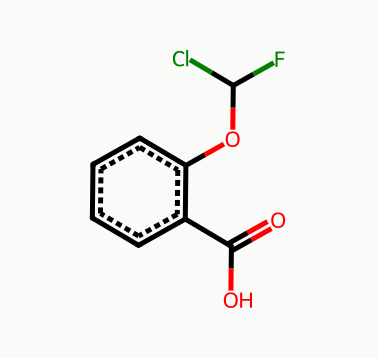 O=C(O)c1ccccc1OC(F)Cl